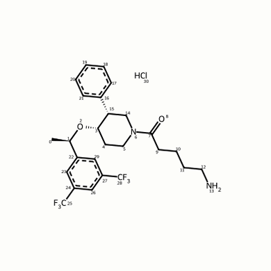 C[C@@H](O[C@H]1CCN(C(=O)CCCCN)C[C@H]1c1ccccc1)c1cc(C(F)(F)F)cc(C(F)(F)F)c1.Cl